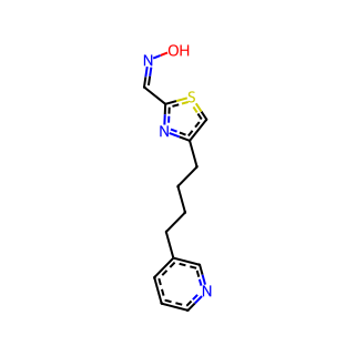 O/N=C\c1nc(CCCCc2cccnc2)cs1